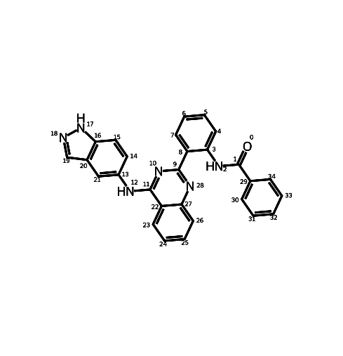 O=C(Nc1ccccc1-c1nc(Nc2ccc3[nH]ncc3c2)c2ccccc2n1)c1ccccc1